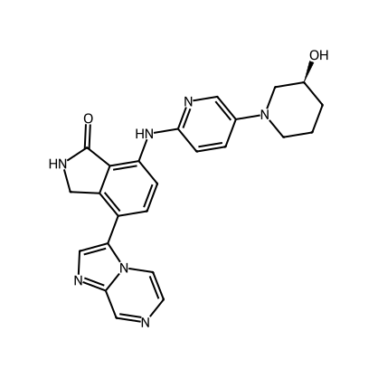 O=C1NCc2c(-c3cnc4cnccn34)ccc(Nc3ccc(N4CCC[C@H](O)C4)cn3)c21